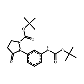 CC(C)(C)OC(=O)Nc1cccc(N2C(=O)CCN2C(=O)OC(C)(C)C)c1